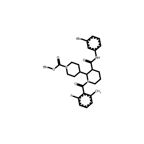 Cc1cccc(F)c1C(=O)N1CCCC(C(=O)Nc2cccc(C(C)(C)C)c2)C1C1CCN(C(=O)OC(C)(C)C)CC1